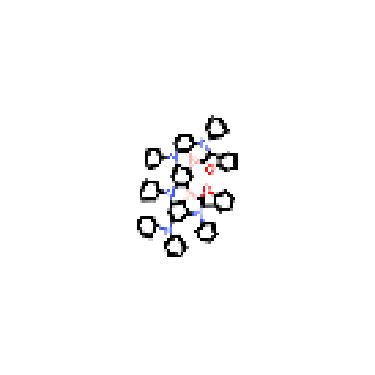 c1ccc(N(c2ccccc2)c2cc3c4c(c2)N(c2ccccc2)c2c(oc5ccccc25)B4c2cc4c(cc2N3c2ccccc2)N(c2ccccc2)c2cccc3c2B4c2oc4ccccc4c2N3c2ccccc2)cc1